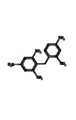 O=[N+]([O-])c1ccc(Cc2c([N+](=O)[O-])cc([N+](=O)[O-])cc2[N+](=O)[O-])c([N+](=O)[O-])c1